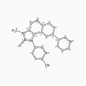 Cn1c(=O)n(-c2ccc(C#N)nc2)c2c3cc(-c4cccnc4)ccc3ncc21